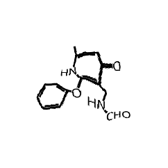 Cc1cc(=O)c(CNC=O)c(Oc2ccccc2)[nH]1